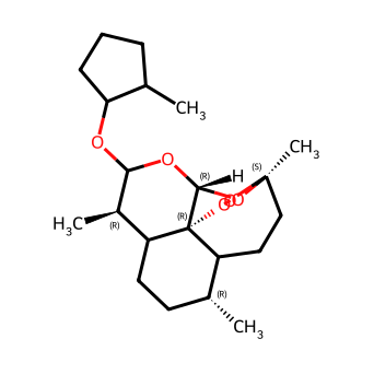 CC1CCCC1OC1O[C@@H]2O[C@]3(C)CCC4[C@H](C)CCC([C@H]1C)[C@]42OO3